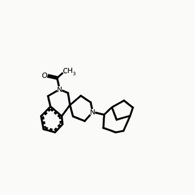 CC(=O)N1Cc2ccccc2C2(CCN(C3CCCC4CCC3C4)CC2)C1